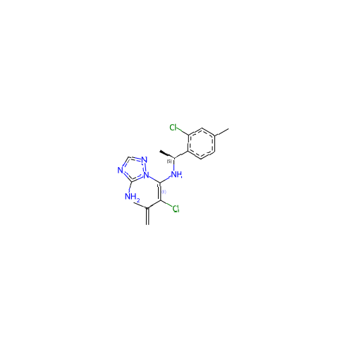 C=C(C)/C(Cl)=C(/N[C@@H](C)c1ccc(C)cc1Cl)n1ncnc1N